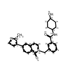 Cn1nccc1-c1ccc2c(=O)n(Cc3cccc(C(=O)NC4CCC(O)CC4)c3)ccc2c1